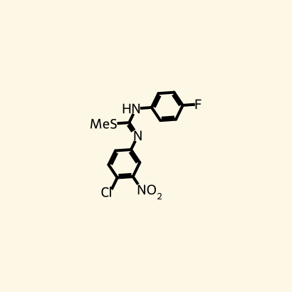 CS/C(=N\c1ccc(Cl)c([N+](=O)[O-])c1)Nc1ccc(F)cc1